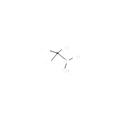 CC(C)(C)P(N)O